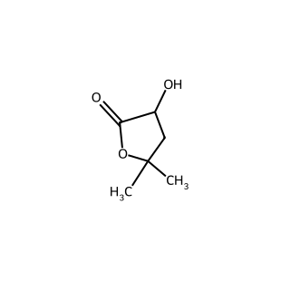 CC1(C)CC(O)C(=O)O1